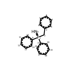 N=P(Cc1ccccc1)(c1ccccc1)c1ccccc1